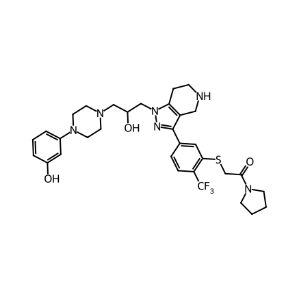 O=C(CSc1cc(-c2nn(CC(O)CN3CCN(c4cccc(O)c4)CC3)c3c2CNCC3)ccc1C(F)(F)F)N1CCCC1